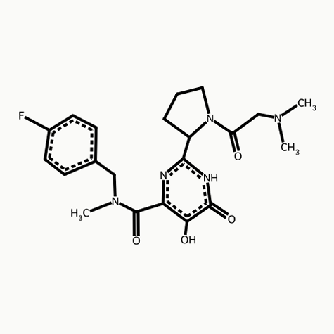 CN(C)CC(=O)N1CCCC1c1nc(C(=O)N(C)Cc2ccc(F)cc2)c(O)c(=O)[nH]1